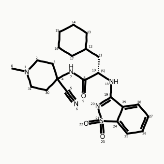 CN1CCC(C#N)(NC(=O)[C@H](CC2CCCCC2)NC2=NS(=O)(=O)c3ccccc32)CC1